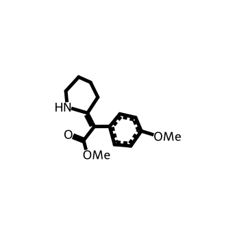 COC(=O)C(=C1CCCCN1)c1ccc(OC)cc1